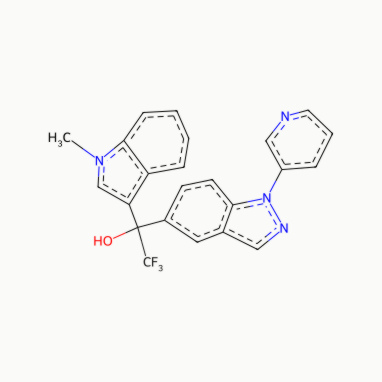 Cn1cc(C(O)(c2ccc3c(cnn3-c3cccnc3)c2)C(F)(F)F)c2ccccc21